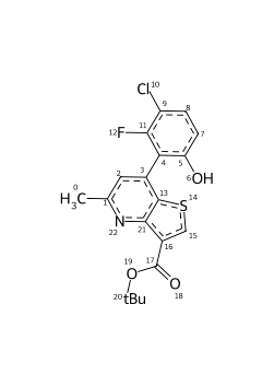 Cc1cc(-c2c(O)ccc(Cl)c2F)c2scc(C(=O)OC(C)(C)C)c2n1